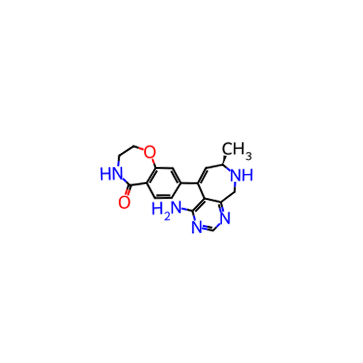 C[C@@H]1C=C(c2ccc3c(c2)OCCNC3=O)c2c(N)ncnc2CN1